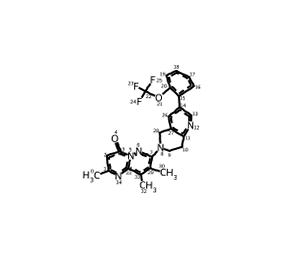 Cc1cc(=O)n2nc(N3CCc4ncc(-c5ccccc5OC(F)(F)F)cc4C3)c(C)c(C)c2n1